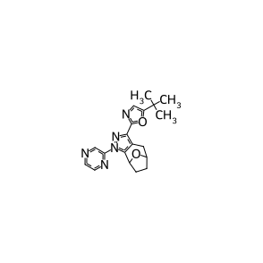 CC(C)(C)c1cnc(-c2nn(-c3cnccn3)c3c2CC2CCC3O2)o1